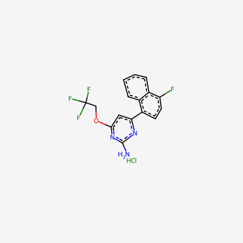 Cl.Nc1nc(OCC(F)(F)F)cc(-c2ccc(F)c3ccccc23)n1